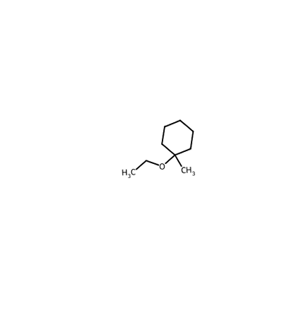 CCOC1(C)CCCCC1